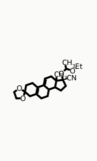 CCOC(C)O[C@]1(C#N)CCC2C3CCC4=C(CCC5(C4)OCCO5)C3=CCC21C